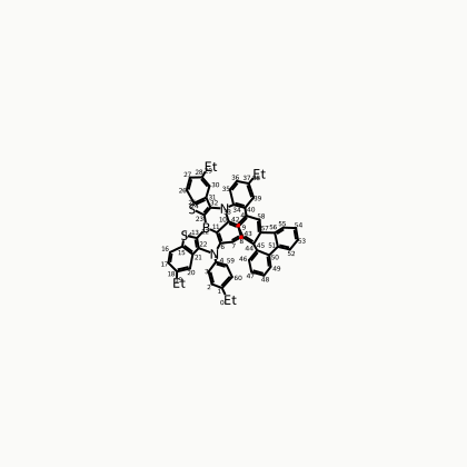 CCc1ccc(N2c3cccc4c3B(c3sc5ccc(CC)cc5c32)c2sc3ccc(CC)cc3c2N4c2ccc(CC)cc2-c2ccc3c4ccccc4c4ccccc4c3c2)cc1